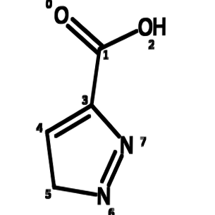 O=C(O)C1=CCN=N1